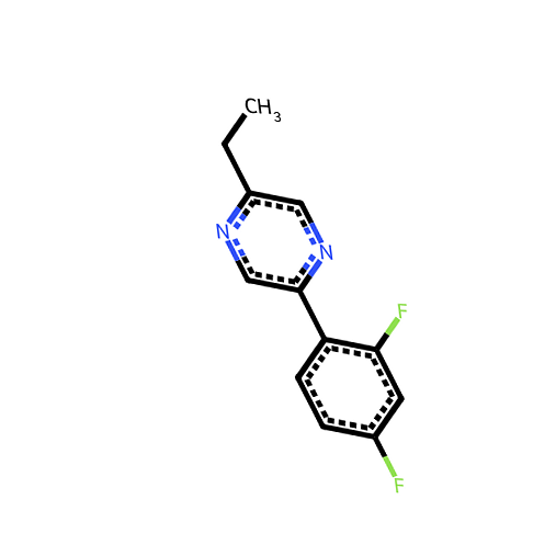 CCc1cnc(-c2ccc(F)cc2F)cn1